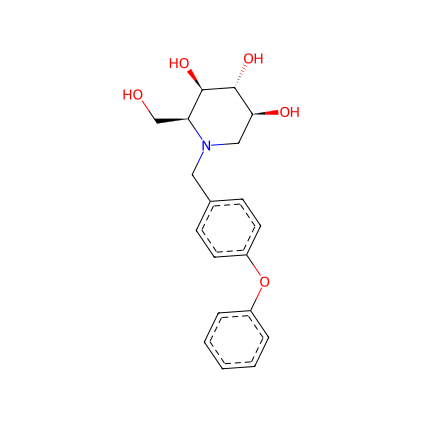 OC[C@H]1[C@@H](O)[C@H](O)[C@@H](O)CN1Cc1ccc(Oc2ccccc2)cc1